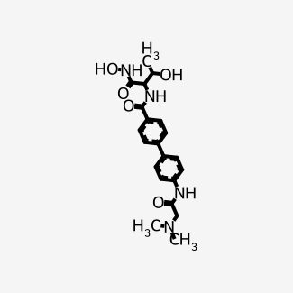 CC(O)C(NC(=O)c1ccc(-c2ccc(NC(=O)CN(C)C)cc2)cc1)C(=O)NO